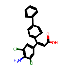 Nc1c(Cl)cc(/C(=C/C(=O)O)c2ccc(-c3ccccc3)cc2)cc1Cl